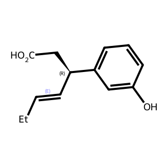 CC/C=C/[C@@H](CC(=O)O)c1cccc(O)c1